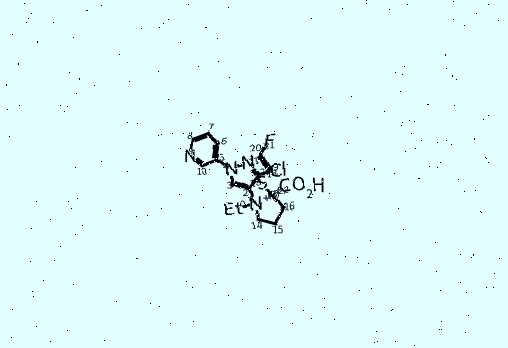 CC[N+]1(c2cn(-c3cccnc3)nc2Cl)CCC[C@@]1(SC=CF)C(=O)O